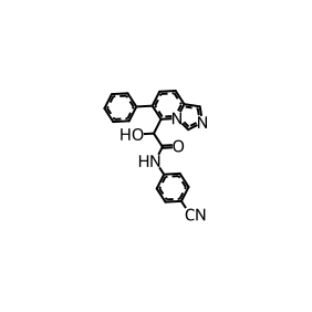 N#Cc1ccc(NC(=O)C(O)c2c(-c3ccccc3)ccc3cncn23)cc1